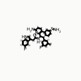 NSc1cccc(-c2ccc(N)nc2C(Cc2cc(F)cc(F)c2)NC(=O)Cc2c[nH]c3ccc(F)cc23)c1